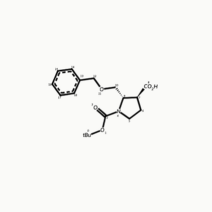 CC(C)(C)OC(=O)N1CC[C@H](C(=O)O)[C@H]1COCc1ccccc1